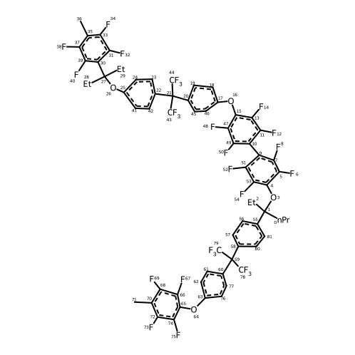 CCCC(CC)(Oc1c(F)c(F)c(-c2c(F)c(F)c(Oc3ccc(C(c4ccc(OC(CC)(CC)c5c(F)c(F)c(C)c(F)c5F)cc4)(C(F)(F)F)C(F)(F)F)cc3)c(F)c2F)c(F)c1F)c1ccc(C(c2ccc(Oc3c(F)c(F)c(C)c(F)c3F)cc2)(C(F)(F)F)C(F)(F)F)cc1